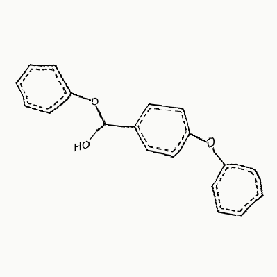 OC(Oc1ccccc1)c1ccc(Oc2ccccc2)cc1